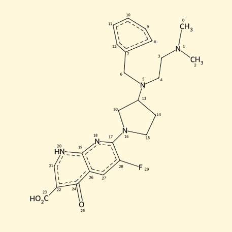 CN(C)CCN(Cc1ccccc1)C1CCN(c2nc3[nH]cc(C(=O)O)c(=O)c3cc2F)C1